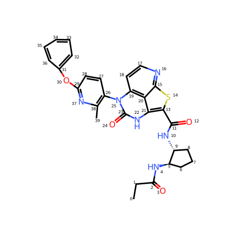 CCC(=O)N[C@@H]1CCC[C@H]1NC(=O)c1sc2nccc3c2c1NC(=O)N3c1ccc(Oc2ccccc2)nc1C